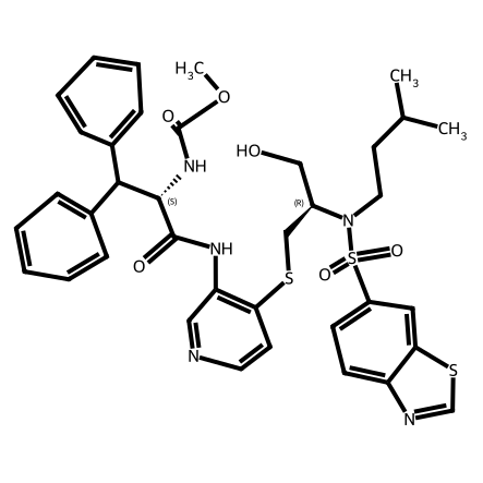 COC(=O)N[C@H](C(=O)Nc1cnccc1SC[C@@H](CO)N(CCC(C)C)S(=O)(=O)c1ccc2ncsc2c1)C(c1ccccc1)c1ccccc1